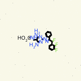 Nc1nc(-n2nc(C(F)c3cccc(F)c3F)c3ccccc32)nc(N)c1CNC(=O)O